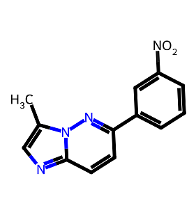 Cc1cnc2ccc(-c3cccc([N+](=O)[O-])c3)nn12